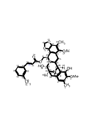 COc1c(C)cc2c(c1O)[C@@H]1C3Cc4c(OC(C)=O)c(C)c5c(c4[C@H](COC(=O)/C=C/c4cccc(C(F)(F)F)c4)N3[C@@H](O)[C@H](C2)N1C)OCO5